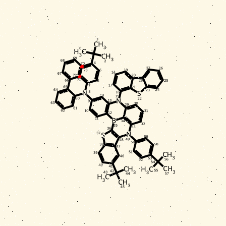 CC(C)(C)c1ccc(N(c2ccc3c(c2)N(c2cccc4c2sc2ccccc24)c2cccc4c2B3c2sc3ccc(C(C)(C)C)cc3c2N4c2ccc(C(C)(C)C)cc2)c2ccccc2-c2ccccc2)cc1